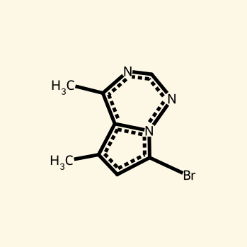 Cc1cc(Br)n2ncnc(C)c12